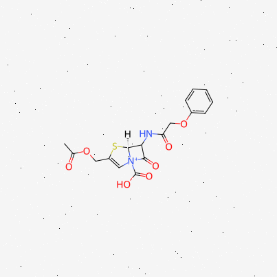 CC(=O)OCC1=C[N+]2(C(=O)O)C(=O)C(NC(=O)COc3ccccc3)[C@@H]2S1